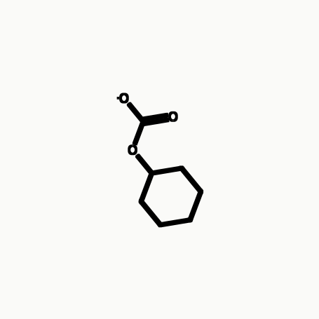 [O]C(=O)OC1CCCCC1